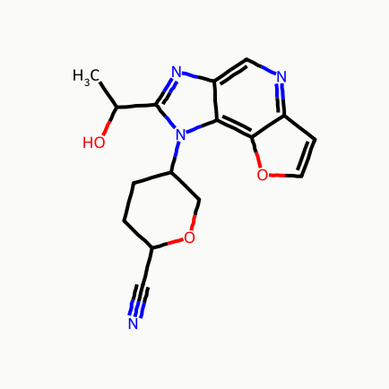 CC(O)c1nc2cnc3ccoc3c2n1C1CCC(C#N)OC1